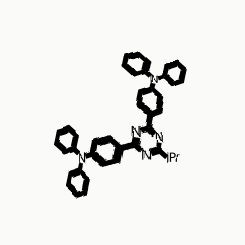 CC(C)c1nc(-c2ccc(N(c3ccccc3)c3ccccc3)cc2)nc(-c2ccc(N(c3ccccc3)c3ccccc3)cc2)n1